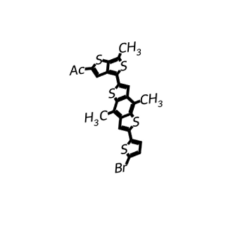 CC(=O)c1cc2c(-c3cc4c(C)c5sc(-c6ccc(Br)s6)cc5c(C)c4s3)sc(C)c2s1